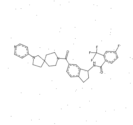 O=C(NC1CCc2ccc(C(=O)N3CCC4(CC3)CCN(c3ccncc3)C4)cc21)c1ccc(F)cc1C(F)(F)F